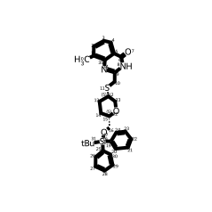 Cc1cccc2c(=O)[nH]c(CS[C@H]3CC[C@@H](CO[Si](c4ccccc4)(c4ccccc4)C(C)(C)C)OC3)nc12